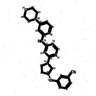 N#Cc1cccc(O[C@@H]2CCN(c3ncnc(Nc4cccc(N5CCOCC5)c4)n3)C2)c1